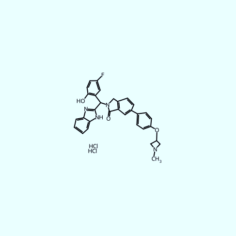 CN1CC(Oc2ccc(-c3ccc4c(c3)C(=O)N(C(c3nc5ccccc5[nH]3)c3cc(F)ccc3O)C4)cc2)C1.Cl.Cl